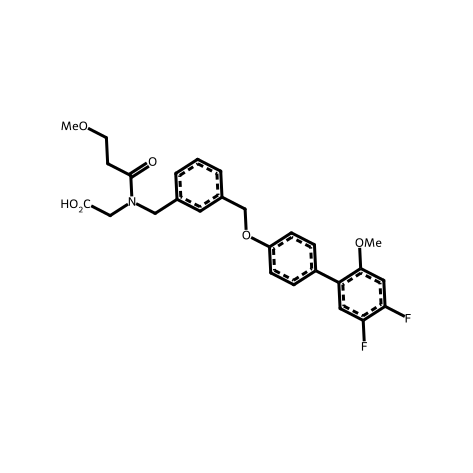 COCCC(=O)N(CC(=O)O)Cc1cccc(COc2ccc(-c3cc(F)c(F)cc3OC)cc2)c1